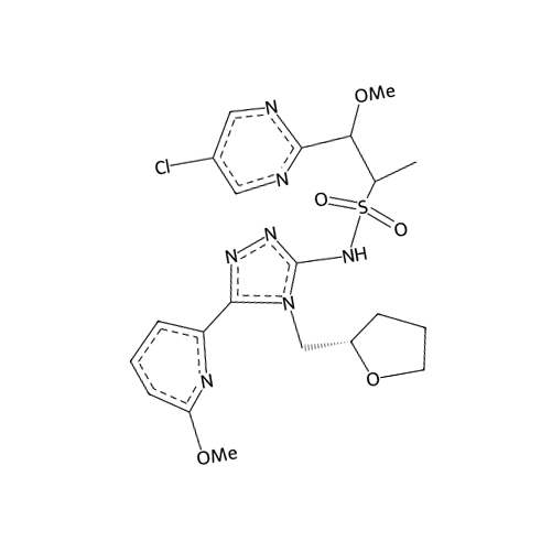 COc1cccc(-c2nnc(NS(=O)(=O)C(C)C(OC)c3ncc(Cl)cn3)n2C[C@@H]2CCCO2)n1